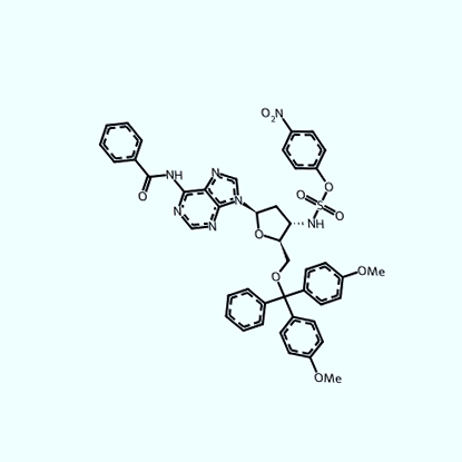 COc1ccc(C(OC[C@H]2O[C@@H](n3cnc4c(NC(=O)c5ccccc5)ncnc43)C[C@@H]2NS(=O)(=O)Oc2ccc([N+](=O)[O-])cc2)(c2ccccc2)c2ccc(OC)cc2)cc1